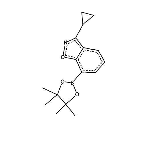 CC1(C)OB(c2cccc3c(C4CC4)noc23)OC1(C)C